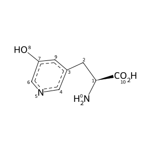 N[C@@H](Cc1cncc(O)c1)C(=O)O